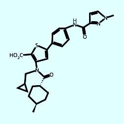 Cn1ccc(C(=O)Nc2ccc(-c3cc(N(CC4CC4)C(=O)[C@H]4CC[C@H](C)CC4)c(C(=O)O)s3)cc2)n1